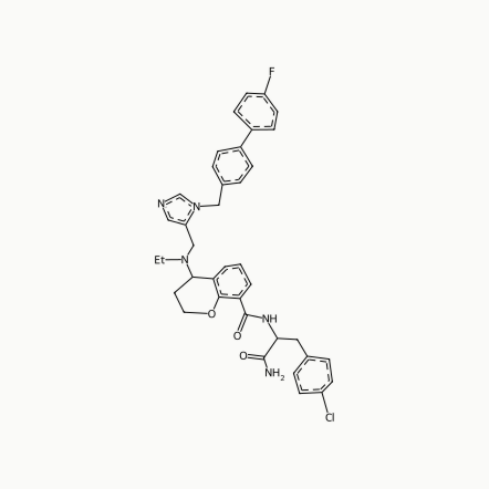 CCN(Cc1cncn1Cc1ccc(-c2ccc(F)cc2)cc1)C1CCOc2c(C(=O)NC(Cc3ccc(Cl)cc3)C(N)=O)cccc21